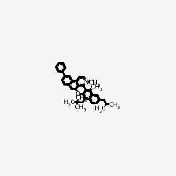 Cc1c2c(c(CC(C)(C)C)c3ccc(CC(C)C)cc13)Oc1cc3ccc(-c4ccccc4)cc3c3cc[n+](C)c-2c13